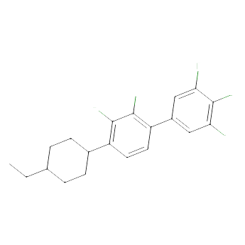 CCC1CCC(c2ccc(-c3cc(F)c(F)c(F)c3)c(F)c2F)CC1